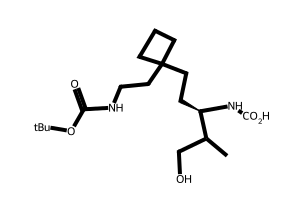 CC(CO)[C@@H](CCC1(CCNC(=O)OC(C)(C)C)CCC1)NC(=O)O